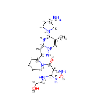 Cc1cn2nc([C@@H]3CCCCN3C(=O)C3NONC3NCCO)cc2nc1N1CC[C@H](N)C1